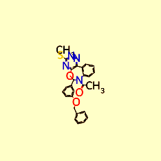 CSc1nnc2c(n1)OC(c1cccc(OCc3ccccc3)c1)N(C(C)=O)c1ccccc1-2